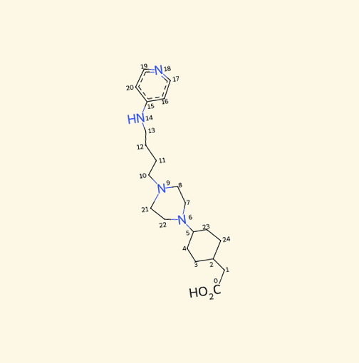 O=C(O)CC1CCC(N2CCN(CCCCNc3ccncc3)CC2)CC1